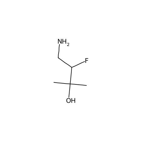 CC(C)(O)C(F)CN